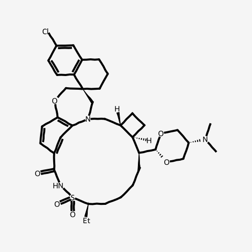 CC[C@@H]1CCCC[C@H]([C@H]2OC[C@@H](N(C)C)CO2)[C@@H]2CC[C@H]2CN2C[C@@]3(CCCc4cc(Cl)ccc43)COc3ccc(cc32)C(=O)NS1(=O)=O